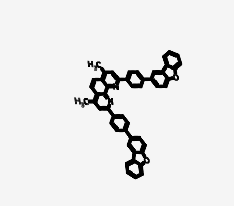 Cc1cc(-c2ccc(-c3ccc4oc5ccccc5c4c3)cc2)nc2c1ccc1c(C)cc(-c3ccc(-c4ccc5oc6ccccc6c5c4)cc3)nc12